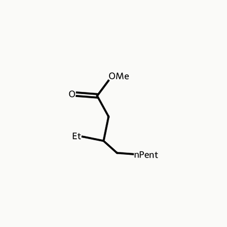 CCCCCCC(CC)CC(=O)OC